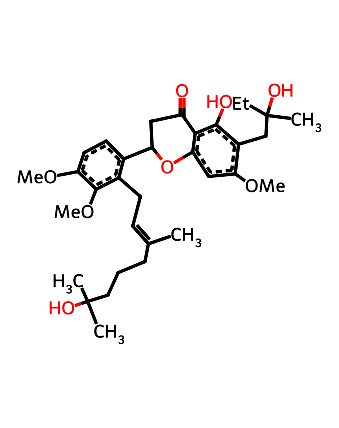 CCC(C)(O)Cc1c(OC)cc2c(c1O)C(=O)CC(c1ccc(OC)c(OC)c1C/C=C(\C)CCCC(C)(C)O)O2